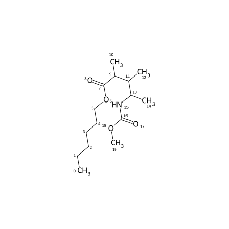 CCCCCCOC(=O)C(C)C(C)C(C)NC(=O)OC